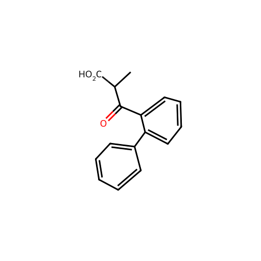 CC(C(=O)O)C(=O)c1ccccc1-c1ccccc1